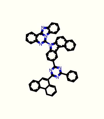 C1=CCC2C(=C1)C(c1nc(-c3ccccc3)nc(-c3ccc4c(c3)c3c5ccccc5ccc3n4-c3nc4ccccc4c4nc5ccccc5n34)n1)=Cc1ccccc12